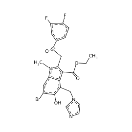 CCOC(=O)c1c(C[S+]([O-])c2ccc(F)c(F)c2)n(C)c2cc(Br)c(O)c(Cn3ccnc3)c12